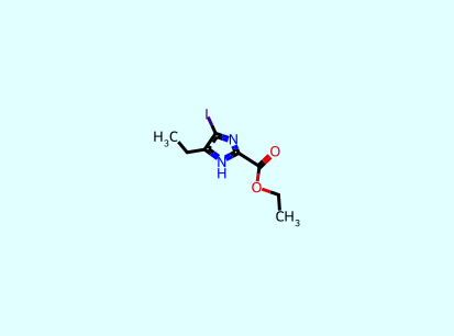 CCOC(=O)c1nc(I)c(CC)[nH]1